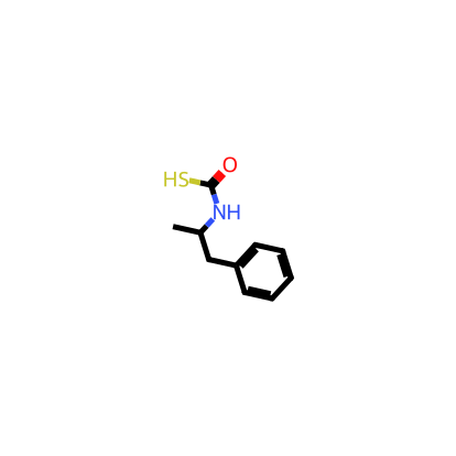 CC(Cc1ccccc1)NC(=O)S